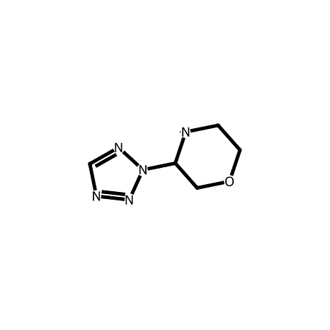 c1nnn(C2COCC[N]2)n1